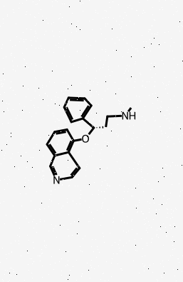 CNCC[C@H](Oc1cccc2cnccc12)c1ccccc1